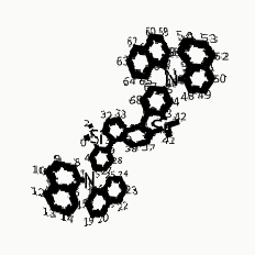 C[Si]1(C)c2cc(N(c3cccc4ccccc34)c3cccc4ccccc34)ccc2-c2c1ccc1c3c(ccc21)[Si](C)(C)c1cc(N(c2cccc4ccccc24)c2cccc4ccccc24)ccc1-3